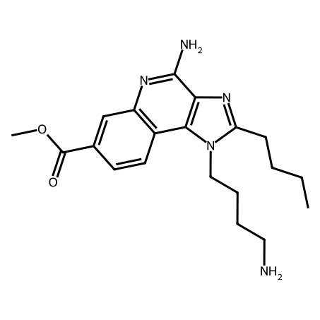 CCCCc1nc2c(N)nc3cc(C(=O)OC)ccc3c2n1CCCCN